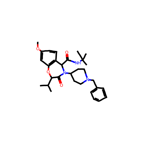 COc1ccc2c(c1)OC(C(C)C)C(=O)N(C1CCN(Cc3ccccc3)CC1)C2C(=O)NC(C)(C)C